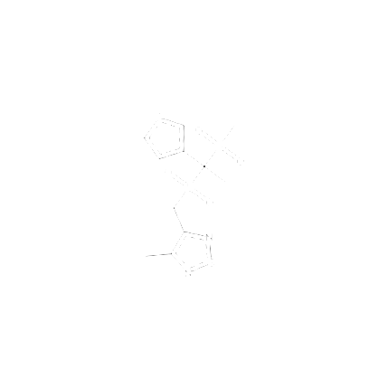 Cc1nsnc1[CH]S(=O)(=O)C(C)(c1ccsc1)S(C)(=O)=O